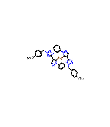 COc1ccc(Cn2nnc(-c3cnn(-c4ccccc4)c3SSc3c(-c4nnn(Cc5ccc(OC)cc5)n4)cnn3-c3ccccc3)n2)cc1